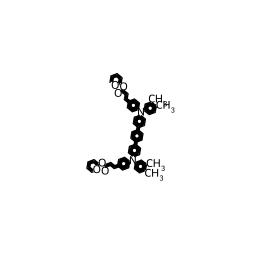 Cc1ccc(N(c2ccc(CCC(=O)OC3CCCCO3)cc2)c2ccc(-c3ccc(-c4ccc(N(c5ccc(CCC(=O)OC6CCCCO6)cc5)c5ccc(C)c(C)c5)cc4)cc3)cc2)cc1C